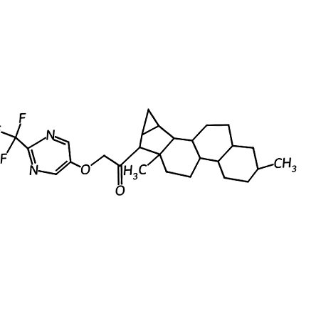 CC1CCC2C(CCC3C2CCC2(C)C(C(=O)COc4cnc(C(F)(F)F)nc4)C4CC4C32)C1